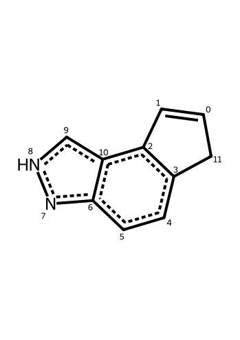 C1=Cc2c(ccc3n[nH]cc23)C1